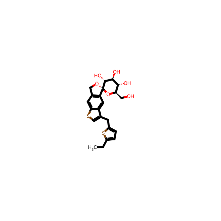 CCc1ccc(Cc2csc3cc4c(cc23)[C@]2(OC4)O[C@H](CO)[C@@H](O)[C@H](O)[C@H]2O)s1